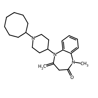 C=C1CC(=O)N(C)c2ccccc2N1C1CCN(C2CCCCCCC2)CC1